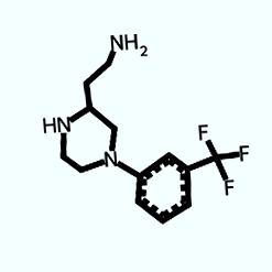 NCCC1CN(c2cccc(C(F)(F)F)c2)CCN1